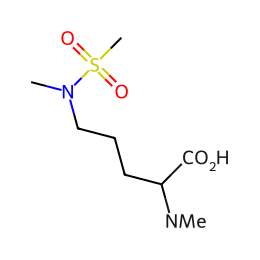 CNC(CCCN(C)S(C)(=O)=O)C(=O)O